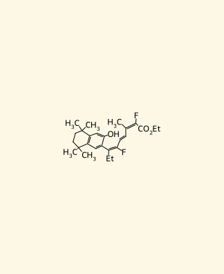 CCOC(=O)\C(F)=C(C)/C=C/C(F)=C(/CC)c1cc2c(cc1O)C(C)(C)CCC2(C)C